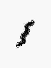 COC(=O)Cn1cc(CN2CCc3nc(C(=O)N4CCc5c(-c6cccc7c6CCN7C(=O)c6nc7c(s6)CN(Cc6cn(CC(=O)OC)nn6)CC7)cccc54)sc3C2)nn1